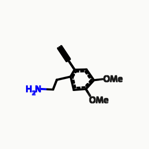 C#Cc1cc(OC)c(OC)cc1CCN